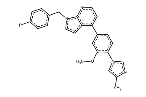 COc1cc(-c2ccnc3c2ccn3Cc2ccc(F)cc2)ccc1-n1cnc(C)c1